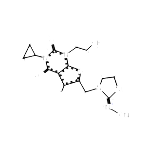 Cc1c(CN2CCN/C2=N\C#N)sc2c1c(=O)n(C1CC1)c(=O)n2CCC(F)(F)F